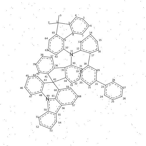 CC1(C)c2ccccc2-c2c(N(c3ccccc3-c3cccc(-c4ccccc4)c3)c3cccc4c3-c3ccccc3C43c4ccccc4-n4c5ccccc5c5cccc3c54)cccc21